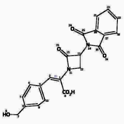 O=C(O)/C(=C\c1ccc(CO)cc1)N1CC(N2C(=O)c3ccccc3C2=O)C1=O